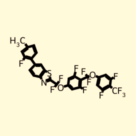 Cc1ccc(-c2ccc3nc(C(F)(F)Oc4cc(F)c(C(F)(F)Oc5cc(F)c(C(F)(F)F)c(F)c5)c(F)c4)sc3c2)c(F)c1